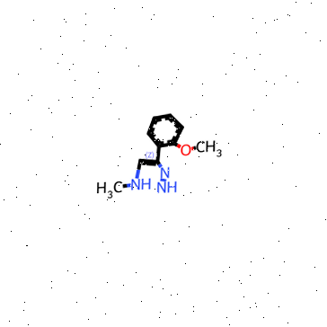 CN/C=C(\N=N)c1ccccc1OC